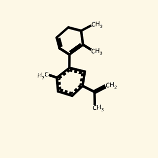 C=C(C)c1ccc(C)c(C2=C(C)C(C)CC=C2)c1